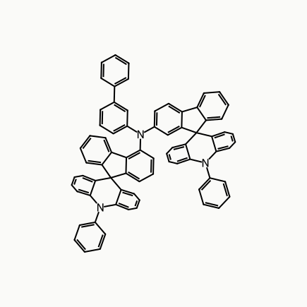 c1ccc(-c2cccc(N(c3ccc4c(c3)C3(c5ccccc5-4)c4ccccc4N(c4ccccc4)c4ccccc43)c3cccc4c3-c3ccccc3C43c4ccccc4N(c4ccccc4)c4ccccc43)c2)cc1